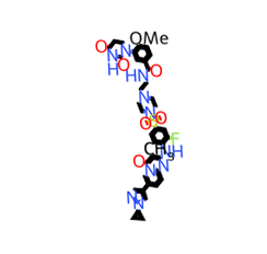 COc1ccc(C(=O)NCCN2CCN(S(=O)(=O)c3ccc(Nc4nc5ccc(-c6cnn(C7CC7)c6)cn5c(=O)c4C)c(F)c3)CC2)cc1N1CCC(=O)NC1=O